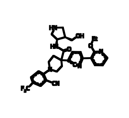 CCOc1ncccc1-c1ccc(C2(C(=O)N[C@H]3CNC[C@H]3CO)CCN(c3ccc(C(F)(F)F)cc3C#N)CC2)cn1